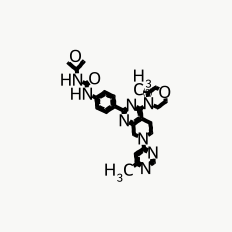 Cc1cc(N2CCc3c(nc(-c4ccc(NC(=O)NC5COC5)cc4)nc3N3CCOC[C@@H]3C)C2)ncn1